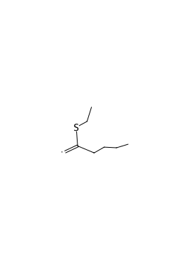 [CH]=C(CCCC)SCC